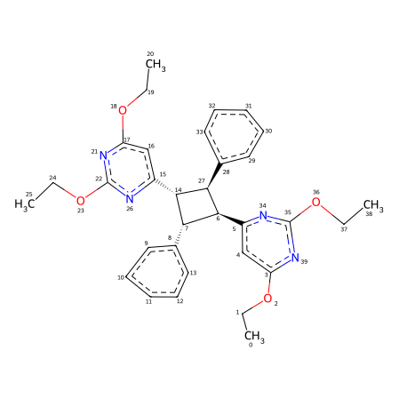 CCOc1cc([C@H]2[C@H](c3ccccc3)[C@H](c3cc(OCC)nc(OCC)n3)[C@H]2c2ccccc2)nc(OCC)n1